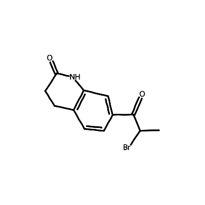 CC(Br)C(=O)c1ccc2c(c1)NC(=O)CC2